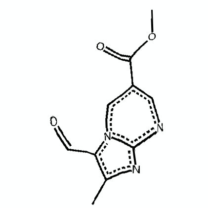 COC(=O)c1cnc2nc(C)c(C=O)n2c1